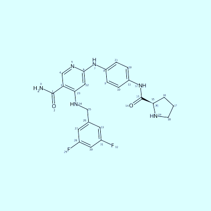 NC(=O)c1cnc(Nc2ccc(NC(=O)[C@H]3CCCN3)cc2)cc1NCc1cc(F)cc(F)c1